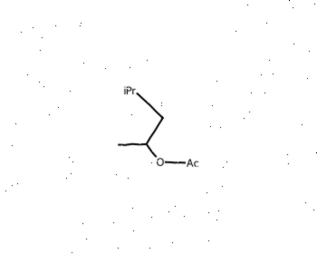 [CH2]C(=O)OC(C)CC(C)C